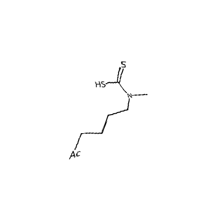 CC(=O)CCCCN(C)C(=S)S